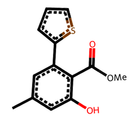 COC(=O)c1c(O)cc(C)cc1-c1cccs1